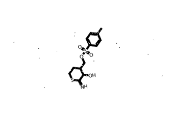 Cc1ccc(S(=O)(=O)OCC2CCSC(=N)C2O)cc1